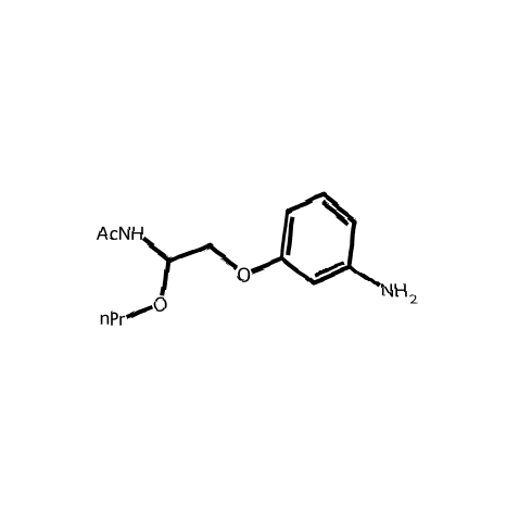 CCCOC(COc1cccc(N)c1)NC(C)=O